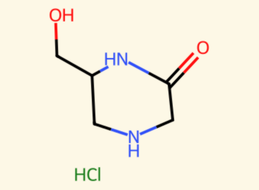 Cl.O=C1CNCC(CO)N1